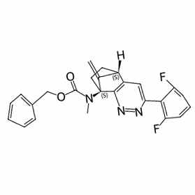 C=C1[C@@H]2CC[C@@]1(N(C)C(=O)OCc1ccccc1)c1nnc(-c3c(F)cccc3F)cc12